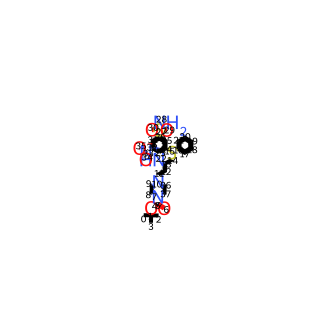 CC(C)(C)OC(=O)N1CCN(CCC(CSc2ccccc2)Nc2ccc(S(N)(=O)=O)cc2[N+](=O)[O-])CC1